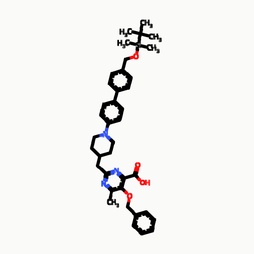 Cc1nc(CC2CCN(c3ccc(-c4ccc(CO[Si](C)(C)C(C)(C)C)cc4)cc3)CC2)nc(C(=O)O)c1OCc1ccccc1